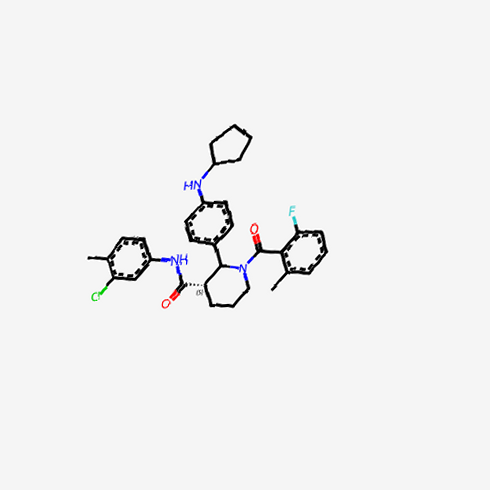 Cc1ccc(NC(=O)[C@H]2CCCN(C(=O)c3c(C)cccc3F)C2c2ccc(NC3CCCC3)cc2)cc1Cl